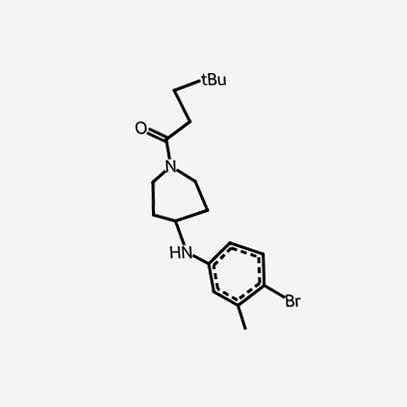 Cc1cc(NC2CCN(C(=O)CCC(C)(C)C)CC2)ccc1Br